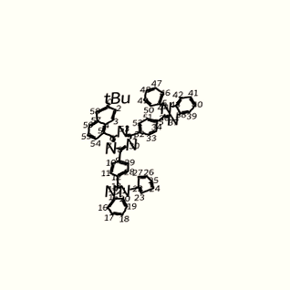 CC(C)(C)c1ccc2c(-c3nc(-c4ccc(-c5nc6ccccc6n5-c5ccccc5)cc4)nc(-c4ccc(-c5nc6ccccc6n5-c5ccccc5)cc4)n3)cccc2c1